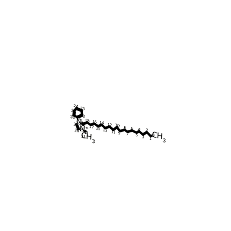 CCCCCCCCCCCCCCCCCCCc1n(-c2ccccc2)cc[n+]1CC